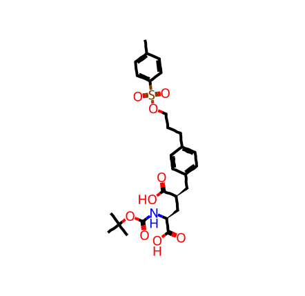 Cc1ccc(S(=O)(=O)OCCCc2ccc(C[C@@H](C[C@H](NC(=O)OC(C)(C)C)C(=O)O)C(=O)O)cc2)cc1